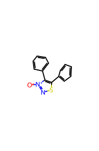 [O-][n+]1nsc(-c2ccccc2)c1-c1ccccc1